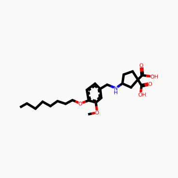 CCCCCCCCOc1ccc(CNC2CCC(C(=O)O)(C(=O)O)C2)cc1OC